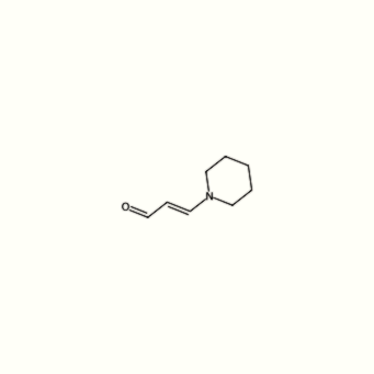 O=C/C=C/N1CCCCC1